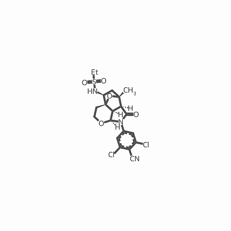 CCS(=O)(=O)N[C@H]1C[C@@]2(C)O[C@@]13CCO[C@H]1[C@@H]3[C@@H]2C(=O)N1c1cc(Cl)c(C#N)c(Cl)c1